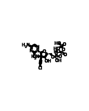 Nc1cnn([C@@H]2O[C@H](COP(=O)(O)OP(=O)(O)OP(=O)(O)O)[C@H](O)C2(N)C#CCl)c(=O)n1